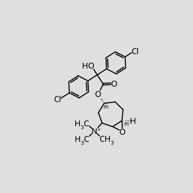 C[N+](C)(C)C1C[C@H](OC(=O)C(O)(c2ccc(Cl)cc2)c2ccc(Cl)cc2)CC[C@H]2OC12